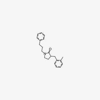 Cc1ccccc1CC1CCN(CCCc2ccccc2)C1=O